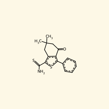 CC1(C)CC(=O)c2c(-c3ccccc3)sc(C(N)=S)c2C1